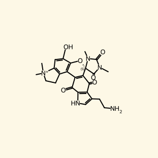 CN1C(=O)N(C)[C@@]2(Oc3c(O)cc4c(c3C3=C2C(=O)c2c(CCN)c[nH]c2C3=O)CC[N+]4(C)C)C1=O